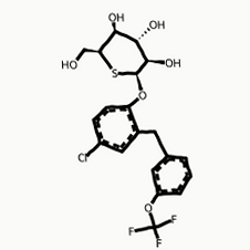 OC[C@@H]1S[C@H](Oc2ccc(Cl)cc2Cc2cccc(OC(F)(F)F)c2)[C@H](O)[C@@H](O)[C@@H]1O